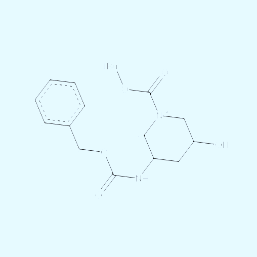 CC(C)(C)OC(=O)N1CC(O)CC(NC(=O)OCc2ccccc2)C1